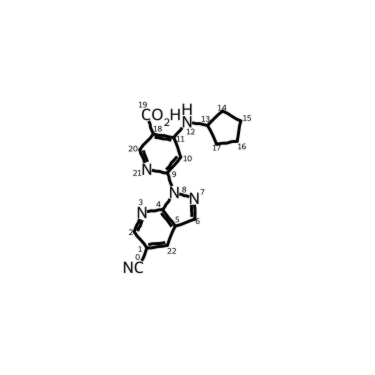 N#Cc1cnc2c(cnn2-c2cc(NC3CCCC3)c(C(=O)O)cn2)c1